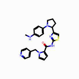 CNc1ccc(N2CCCC2c2csc(NC(=O)c3cccn3Cc3ccncc3)n2)cc1